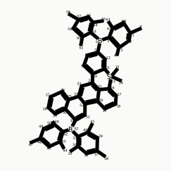 Cc1cc(C)c(B(c2ccc3c(c2)[Si](C)(C)c2cccc4c2c-3cc2c3ccccc3c(B(c3c(C)cc(C)cc3C)c3c(C)cc(C)cc3C)cc42)c2c(C)cc(C)cc2C)c(C)c1